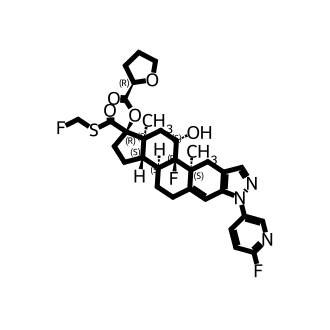 C[C@]12Cc3cnn(-c4ccc(F)nc4)c3C=C1CC[C@H]1[C@@H]3CC[C@](OC(=O)[C@H]4CCCO4)(C(=O)SCF)[C@@]3(C)C[C@H](O)[C@@]12F